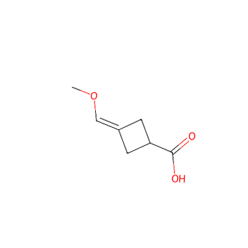 COC=C1CC(C(=O)O)C1